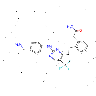 NCc1ccc(Nc2ncc(C(F)(F)F)c(CCc3ccccc3CC(N)=O)n2)cc1